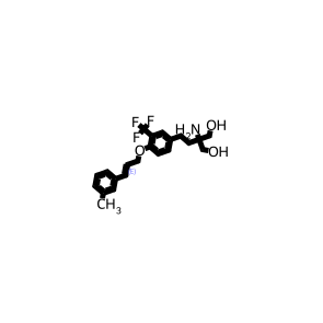 Cc1cccc(/C=C/COc2ccc(CCC(N)(CO)CO)cc2C(F)(F)F)c1